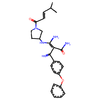 CC(C)/C=C/C(=O)N1CCC(N/C(N)=C(\C(=N)c2ccc(Oc3ccccc3)cc2)C(N)=O)C1